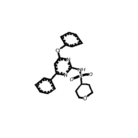 O=S(=O)(Nc1nc(Oc2ccccc2)cc(-c2ccccc2)n1)C1CCOCC1